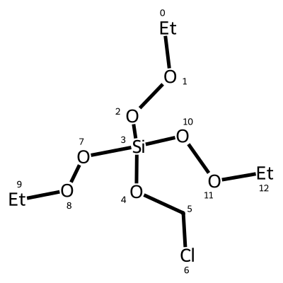 CCOO[Si](OCCl)(OOCC)OOCC